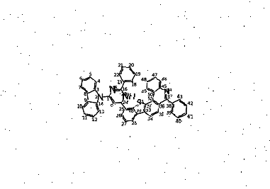 C1=C(n2c3ccccc3c3ccccc32)N=C(c2ccccc2)NC1c1cccc2c1sc1c2ccc2c(-c3ccccc3)nc3ccccc3c21